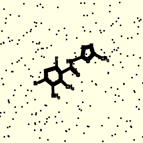 Cc1nnc(NC(=O)c2c(F)cc(Br)c(N)c2C)o1